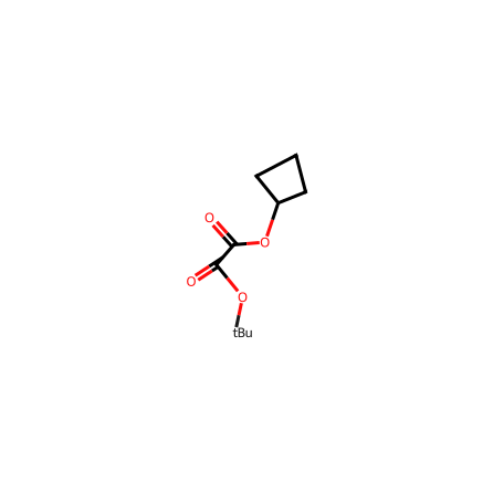 CC(C)(C)OC(=O)C(=O)OC1CCC1